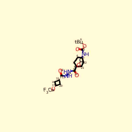 CC(C)(C)OC(=O)NC12CCC(C(=O)NNC(=O)[C@H]3C[C@@H](OC(F)(F)F)C3)(CC1)OC2